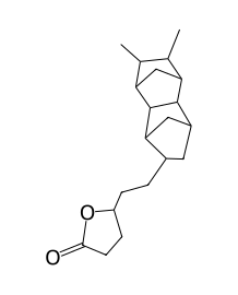 CC1C(C)C2CC1C1C3CC(CCC4CCC(=O)O4)C(C3)C21